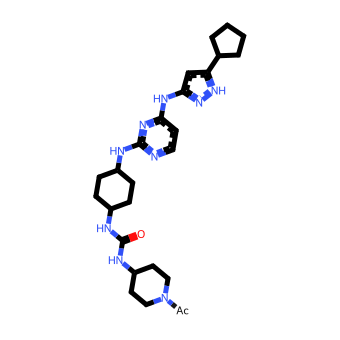 CC(=O)N1CCC(NC(=O)NC2CCC(Nc3nccc(Nc4cc(C5CCCC5)[nH]n4)n3)CC2)CC1